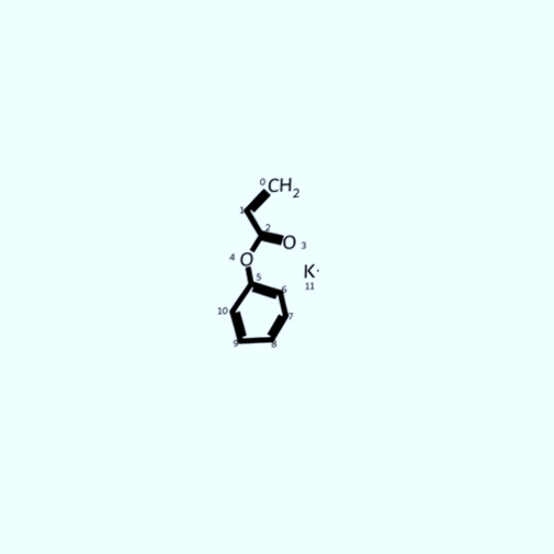 C=CC(=O)Oc1ccccc1.[K]